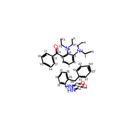 CCN(CC)c1cccc(C(=O)c2ccccc2)c1N(CC)CC.N=C=O.N=C=O.c1ccc(Cc2ccccc2)cc1